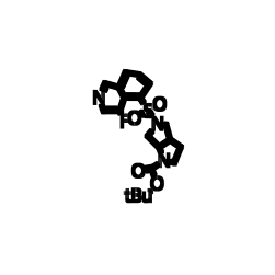 CC(C)(C)OC(=O)N1CCC2CN(S(=O)(=O)c3cccc4cncc(F)c34)CC21